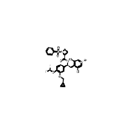 O=C(O[C@@H](Cc1c(Cl)c[n+]([O-])cc1Cl)c1ccc(OC(F)F)c(OCC2CC2)c1)[C@@H]1CCN1S(=O)(=O)c1ccccc1